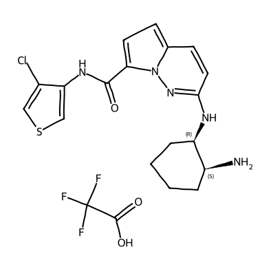 N[C@H]1CCCC[C@H]1Nc1ccc2ccc(C(=O)Nc3cscc3Cl)n2n1.O=C(O)C(F)(F)F